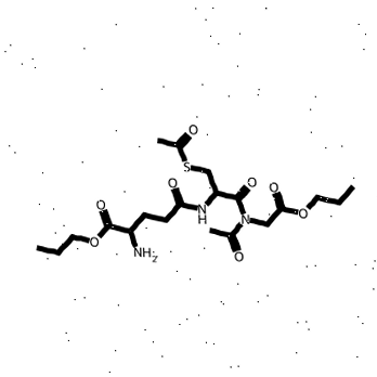 CCCOC(=O)CN(C(C)=O)C(=O)C(CSC(C)=O)NC(=O)CCC(N)C(=O)OCCC